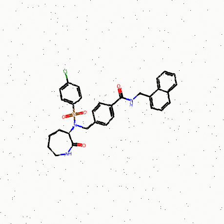 O=C(NCc1cccc2ccccc12)c1ccc(CN([C@@H]2CCCCNC2=O)S(=O)(=O)c2ccc(Cl)cc2)cc1